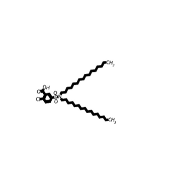 CCCCCCCCCCCCCCCCN(CCCCCCCCCCCCCCCC)S(=O)(=O)c1ccc(Cl)c(C(=O)O)c1